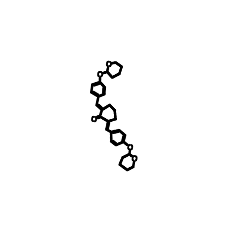 O=C1/C(=C/c2ccc(OC3CCCCO3)cc2)CCC/C1=C\c1ccc(OC2CCCCO2)cc1